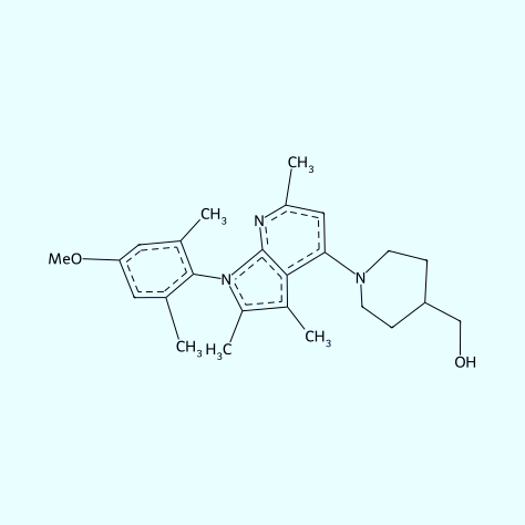 COc1cc(C)c(-n2c(C)c(C)c3c(N4CCC(CO)CC4)cc(C)nc32)c(C)c1